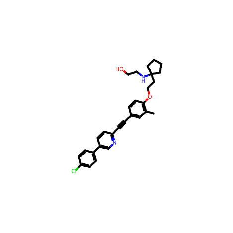 Cc1cc(C#Cc2ccc(-c3ccc(Cl)cc3)cn2)ccc1OCCC1(NCCO)CCCC1